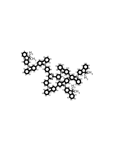 CC1(C)c2ccccc2-c2ccc(-n3c4ccccc4c4ccc(-c5ccc6c7ccccc7n(-c7ccc(-c8cc(-c9cccc(-n%10c%11ccccc%11c%11ccc(-c%12ccc%13c%14ccccc%14n(-c%14ccc%15c(c%14)C(C)(C)c%14ccccc%14-%15)c%13c%12)cc%11%10)c9)nc(-c9cccc(-n%10c%11ccccc%11c%11ccc(-c%12ccc%13c%14ccccc%14n(-c%14ccc%15c(c%14)C(C)(C)c%14ccccc%14-%15)c%13c%12)cc%11%10)c9)n8)cc7)c6c5)cc43)cc21